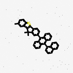 Cc1ccc2sc3c(c2c1)C(C)(C)c1cc(-c2c4ccccc4c(-c4cccc5ccccc45)c4ccccc24)ccc1-3